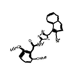 COc1cccc(OC)c1C(=O)Nc1nnc(-c2c(Br)ccc3ccccc23)s1